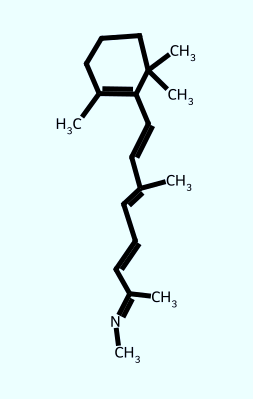 C/N=C(C)/C=C/C=C(C)/C=C/C1=C(C)CCCC1(C)C